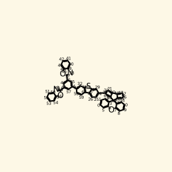 c1ccc2c(c1)Oc1ccccc1C21c2ccccc2-c2ccc(-c3ccc4c(c3)sc3cc(-c5cc(-c6nc7ccccc7o6)cc(-c6nc7ccccc7o6)c5)ccc34)cc21